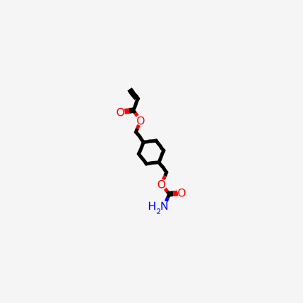 C=CC(=O)OCC1CCC(COC(N)=O)CC1